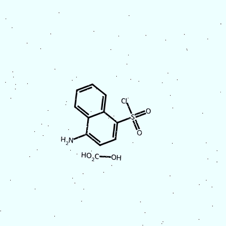 Nc1ccc(S(=O)(=O)Cl)c2ccccc12.O=C(O)O